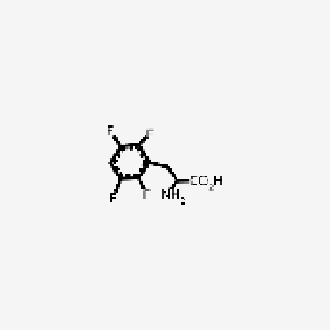 NC(Cc1c(F)c(F)cc(F)c1F)C(=O)O